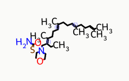 CC/C(=C(/C)CC/C=C(\C)CC/C=C(\C)CCC=C(C)C)C(OC(N)=S)N1CCOCC1